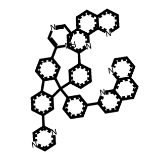 C1=NC=C(c2ccc3c(c2)C(c2cccc(-c4ccc5ccc6cccnc6c5n4)c2)(c2cccc(-c4ccc5ccc6cccnc6c5n4)c2)c2cc(-c4cnccn4)ccc2-3)NC1